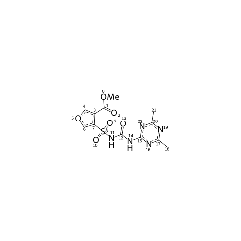 COC(=O)c1cocc1S(=O)(=O)NC(=O)Nc1nc(C)nc(C)n1